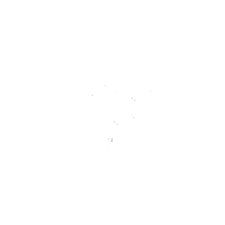 CN1C=CN(N)N1.O=[N+]([O-])O